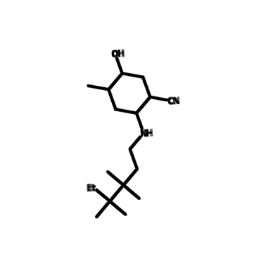 CCC(C)(C)C(C)(C)CCNC1CC(C)C(O)CC1C#N